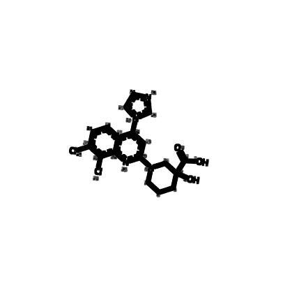 O=C(O)C1(O)CCCN(c2cc(-n3ccnc3)c3ccc(Cl)c(Cl)c3n2)C1